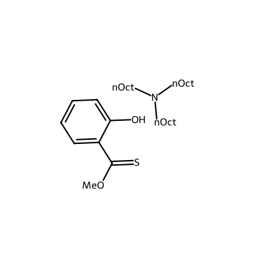 CCCCCCCCN(CCCCCCCC)CCCCCCCC.COC(=S)c1ccccc1O